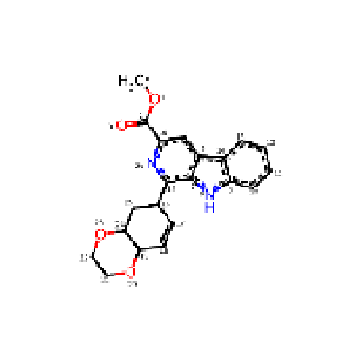 COC(=O)c1cc2c([nH]c3ccccc32)c(C2C=CC3OCCOC3C2)n1